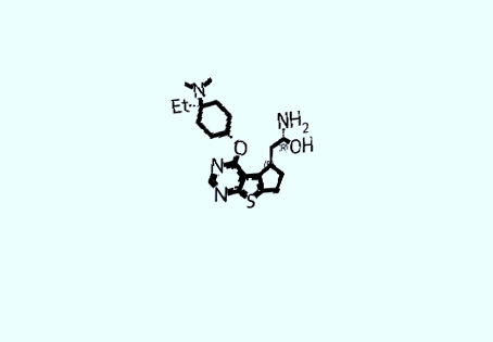 CC[C@]1(N(C)C)CC[C@H](Oc2ncnc3sc4c(c23)[C@@H](C[C@H](N)O)CC4)CC1